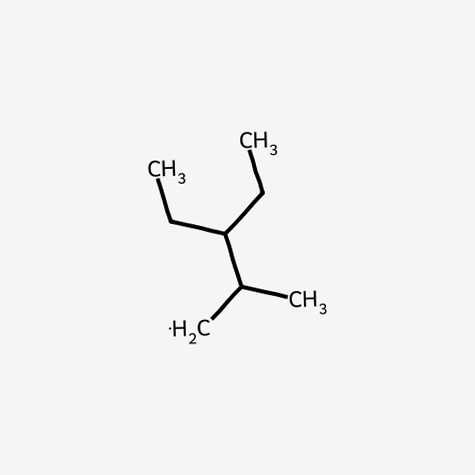 [CH2]C(C)C(CC)CC